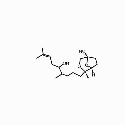 CC(C)=CCC(O)C(C)CCC[C@]1(C)OC[C@]2(C#N)CC[C@H]1O2